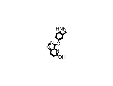 Oc1ccc2ncnc(Oc3ccc4[nH]ncc4c3)c2n1